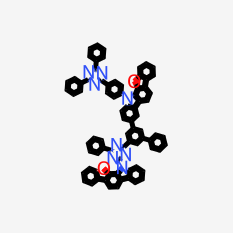 c1ccc(-c2cc(-c3ccc4c(c3)c3ccc5c6ccccc6oc5c3n4-c3ccc(-c4nc(-c5ccccc5)nc(-c5ccccc5)n4)cc3)cc(-c3nc(-c4ccccc4)nc(-n4c5ccccc5c5ccc6c7ccccc7oc6c54)n3)c2)cc1